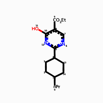 CCCC1CCC(c2ncc(C(=O)OCC)c(O)n2)CC1